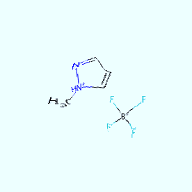 C[NH+]1C=CC=N1.F[B-](F)(F)F